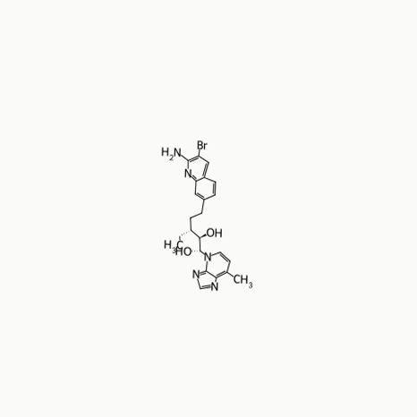 CC[C@H](CCc1ccc2cc(Br)c(N)nc2c1)[C@@H](O)[C@@H](O)n1ccc(C)c2ncnc1-2